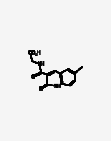 Cc1ccc2[nH]c(=O)c(C(=O)NCC(=O)O)cc2c1